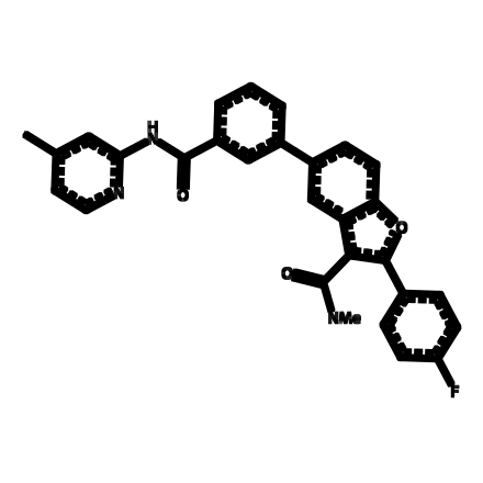 CNC(=O)c1c(-c2ccc(F)cc2)oc2ccc(-c3cccc(C(=O)Nc4cc(C)ccn4)c3)cc12